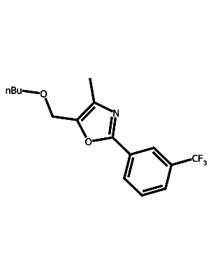 CCCCOCc1oc(-c2cccc(C(F)(F)F)c2)nc1C